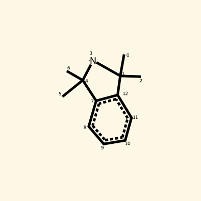 CC1(C)[N]C(C)(C)c2ccccc21